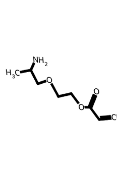 C=CC(=O)OCCOCC(C)N